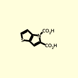 O=C(O)c1cc2sccc2n1C(=O)O